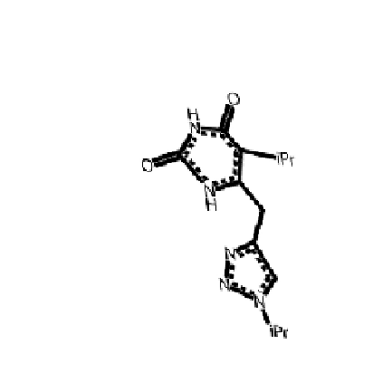 CC(C)c1c(Cc2cn(C(C)C)nn2)[nH]c(=O)[nH]c1=O